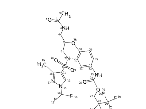 CC(=O)NCC1CN(S(=O)(=O)c2cn(C(F)F)nc2C)c2cc(NC(=O)OCC3(C(F)(F)F)CC3)ccc2O1